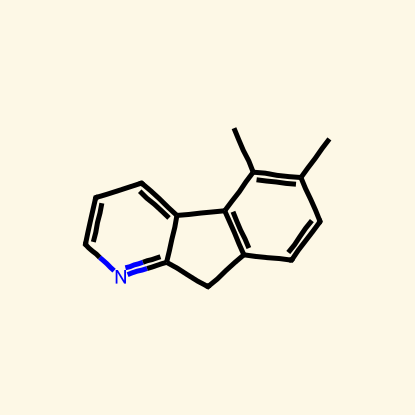 Cc1ccc2c(c1C)-c1cccnc1C2